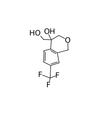 OCC1(O)COCc2cc(C(F)(F)F)ccc21